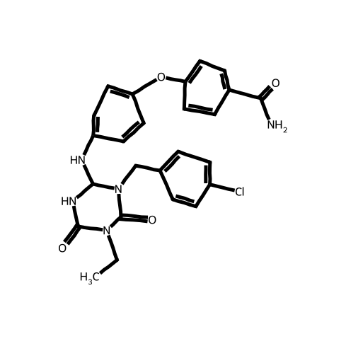 CCN1C(=O)NC(Nc2ccc(Oc3ccc(C(N)=O)cc3)cc2)N(Cc2ccc(Cl)cc2)C1=O